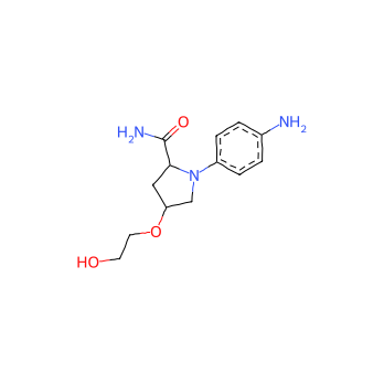 NC(=O)C1CC(OCCO)CN1c1ccc(N)cc1